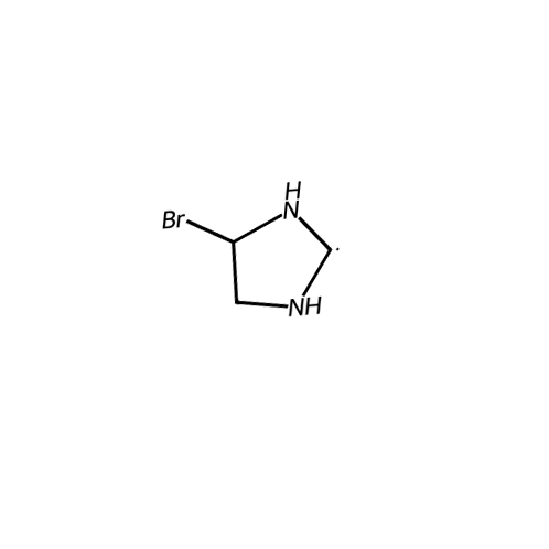 BrC1CN[CH]N1